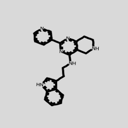 c1cncc(-c2nc3c(c(NCCc4c[nH]c5ccccc45)n2)CNCC3)c1